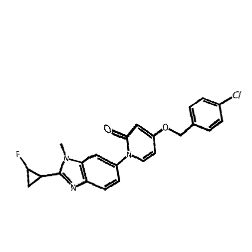 Cn1c(C2CC2F)nc2ccc(-n3ccc(OCc4ccc(Cl)cc4)cc3=O)cc21